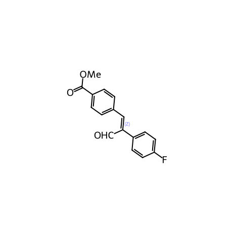 COC(=O)c1ccc(/C=C(\C=O)c2ccc(F)cc2)cc1